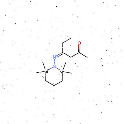 CCC(CC(C)=O)=NN1[Si](C)(C)CCC[Si]1(C)C